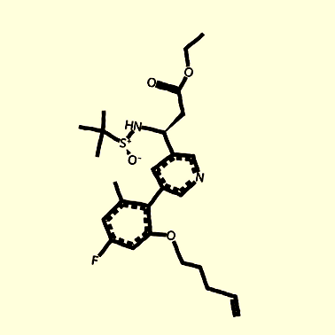 C=CCCCOc1cc(F)cc(C)c1-c1cncc([C@H](CC(=O)OCC)N[S@+]([O-])C(C)(C)C)c1